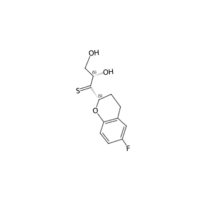 OC[C@H](O)C(=S)[C@@H]1CCc2cc(F)ccc2O1